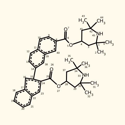 CC1(C)CC(OC(=O)c2ccc3ccc(-c4cc5ccccc5cc4C(=O)OC4CC(C)(C)NC(C)(C)C4)cc3c2)CC(C)(C)N1